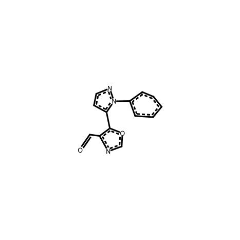 O=Cc1ncoc1-c1ccnn1-c1ccccc1